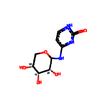 O=c1nc(NC2OC[C@@H](O)[C@@H](O)[C@H]2O)cc[nH]1